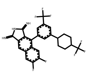 N=C1NC(=N)c2c1cc1cc(F)c(F)cc1c2-c1cc(C2CCC(C(F)(F)F)CC2)cc(C(F)(F)F)c1